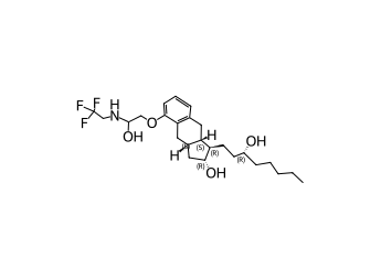 CCCCC[C@@H](O)CC[C@@H]1[C@H]2Cc3cccc(OCC(O)NCC(F)(F)F)c3C[C@H]2C[C@H]1O